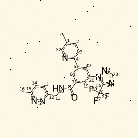 Cc1ccc(-c2cc(C(=O)NCc3ccc(C)nn3)cc(-n3ncnc3C(F)(F)F)c2)nc1